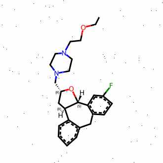 CCOCCN1CCN(C[C@H]2C[C@@H]3c4ccccc4Cc4ccc(F)cc4[C@H]3O2)CC1